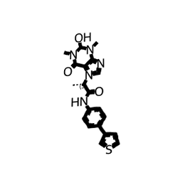 C[C@@H](C(=O)Nc1ccc(-c2ccsc2)cc1)n1cnc2c1C(=O)N(C)C(O)N2C